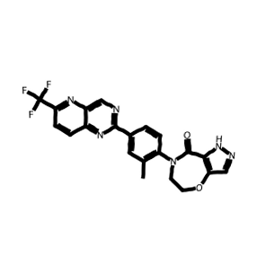 Cc1cc(-c2ncc3nc(C(F)(F)F)ccc3n2)ccc1N1CCOc2cn[nH]c2C1=O